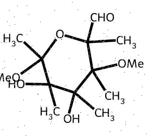 COC1(C)OC(C)(C=O)C(C)(OC)C(C)(O)C1(C)O